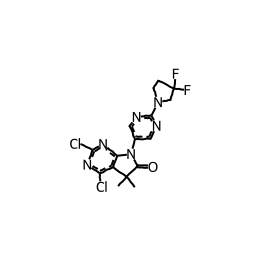 CC1(C)C(=O)N(c2cnc(N3CCC(F)(F)C3)nc2)c2nc(Cl)nc(Cl)c21